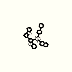 C1=CC2C=CC(c3nc(-c4ccc(-c5ccccc5)cc4)nc(-c4cc(-c5cccc6c5oc5ccccc56)cc5oc6ccccc6c45)n3)=CC2C=C1